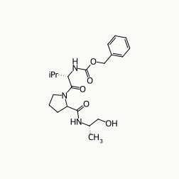 CC(C)[C@H](NC(=O)OCc1ccccc1)C(=O)N1CCCC1C(=O)N[C@@H](C)CO